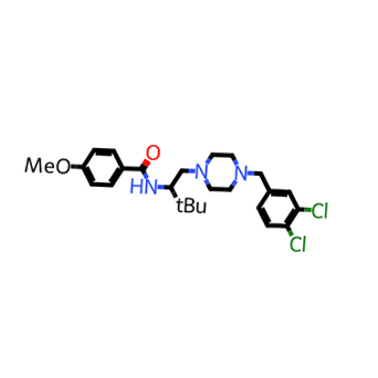 COc1ccc(C(=O)NC(CN2CCN(Cc3ccc(Cl)c(Cl)c3)CC2)C(C)(C)C)cc1